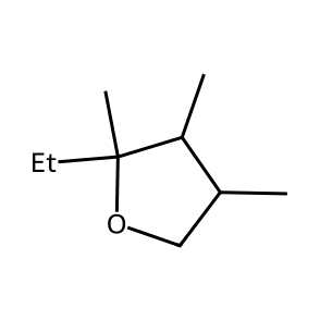 CCC1(C)OCC(C)C1C